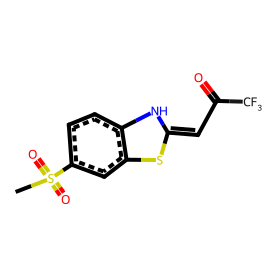 CS(=O)(=O)c1ccc2c(c1)S/C(=C/C(=O)C(F)(F)F)N2